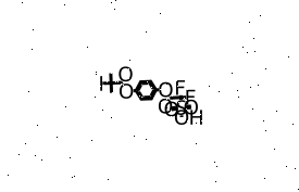 CC(C)(I)C(=O)Oc1ccc(OC(=O)C(F)(F)S(=O)(=O)O)cc1